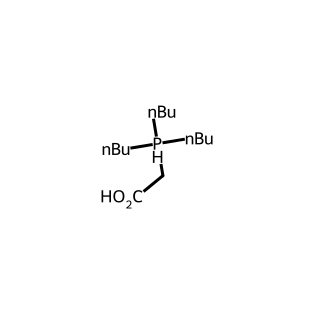 CCCC[PH](CCCC)(CCCC)CC(=O)O